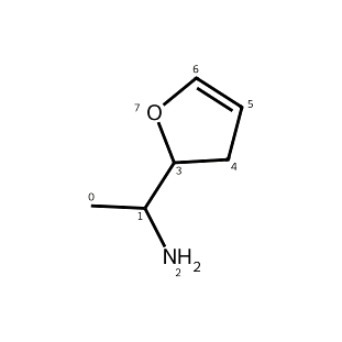 CC(N)C1CC=CO1